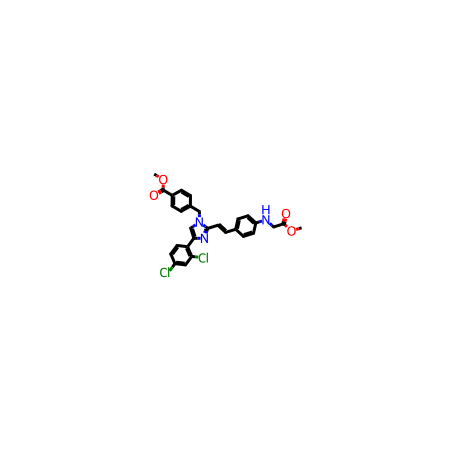 COC(=O)CNc1ccc(/C=C/c2nc(-c3ccc(Cl)cc3Cl)cn2Cc2ccc(C(=O)OC)cc2)cc1